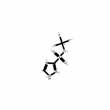 O=S(=O)(OC(F)(F)F)c1nc[nH]n1